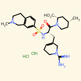 C[C@@H]1CCN(C(=O)[C@H](CC2=CCCN(C(=N)N)C2)NS(=O)(=O)c2ccc3c(c2)CN(C)CC3)[C@H](C(=O)O)C1.Cl.Cl